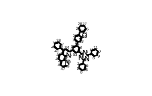 c1ccc(-c2nc(-c3ccccc3)nc(-c3cc(-c4ccc5c(c4)oc4ccccc45)cc(-c4cc(-c5ccccc5)c5ccc6cccnc6c5n4)c3)n2)cc1